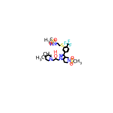 CC1(C)CCN(CC(O)Cn2nc(-c3ccc(C(F)(F)F)c(SCCNS(C)(=O)=O)c3)c3c2CCN(S(C)(=O)=O)C3)CC1